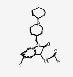 CC(C)C(=O)NC1C(=O)N(C2CCN(C3CCCCC3)CC2)c2ccc(F)cc21